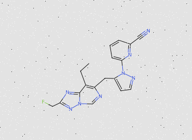 CCc1c(Cc2ccnn2-c2cccc(C#N)n2)ncn2nc(CF)nc12